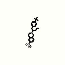 CCCC(Cc1ccc(C(C)(C)C)cc1)N1CCc2cc([SH](=O)=O)ccc2C1